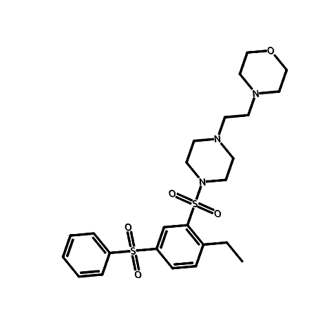 CCc1ccc(S(=O)(=O)c2ccccc2)cc1S(=O)(=O)N1CCN(CCN2CCOCC2)CC1